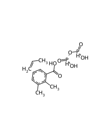 C=CC.Cc1cccc(C(=O)O)c1C.O=[PH](O)O[PH](=O)O